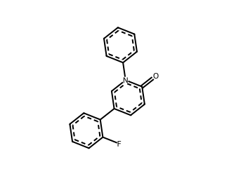 O=c1ccc(-c2ccccc2F)cn1-c1ccccc1